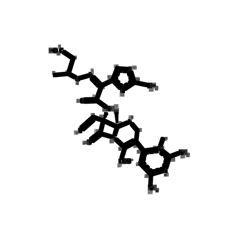 CC(CC(=O)O)O/N=C(\C(=O)N[C@@]1(C=S)C(=O)N2C(C(=O)[O-])=C(c3cc(N)nc(N)[n+]3C)CS[C@@H]21)c1csc(N)n1